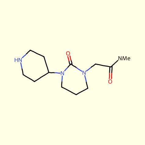 CNC(=O)CN1CCCN(C2CCNCC2)C1=O